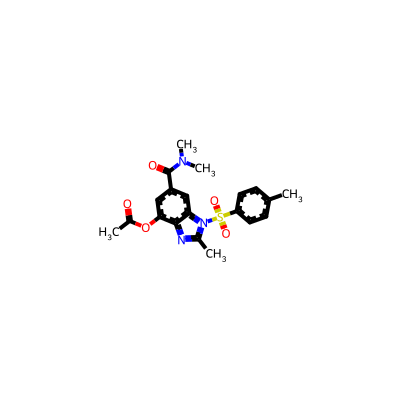 CC(=O)Oc1cc(C(=O)N(C)C)cc2c1nc(C)n2S(=O)(=O)c1ccc(C)cc1